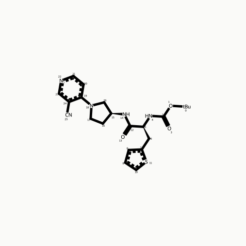 CC(C)(C)OC(=O)N[C@@H](Cc1cccs1)C(=O)N[C@H]1CCN(c2ccncc2C#N)C1